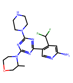 CC1COCCN1c1nc(-c2cnc(N)cc2C(F)F)nc(N2CCNCC2)n1